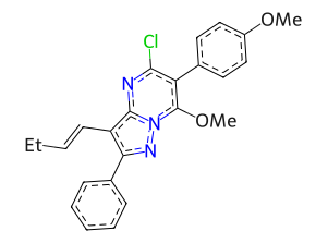 CC/C=C/c1c(-c2ccccc2)nn2c(OC)c(-c3ccc(OC)cc3)c(Cl)nc12